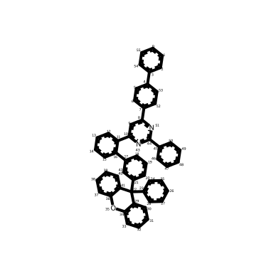 c1ccc(-c2ccc(-c3cc(-c4ccccc4-c4cccc(C5(c6ccccc6)c6ccccc6Oc6ccccc65)c4)nc(-c4ccccc4)n3)cc2)cc1